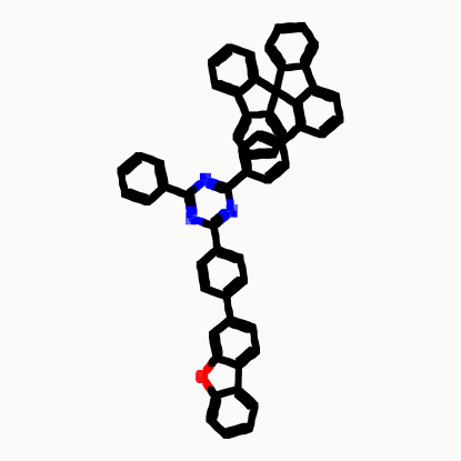 c1ccc(-c2nc(-c3ccc(-c4ccc5c(c4)oc4ccccc45)cc3)nc(-c3ccc(-c4cccc5c4C4(c6ccccc6-c6ccccc64)c4ccccc4-5)cc3)n2)cc1